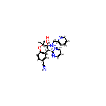 CC1(C)Oc2ccc(C#N)cc2[C@H](c2ncccn2)[C@]1(O)NCc1ccccn1